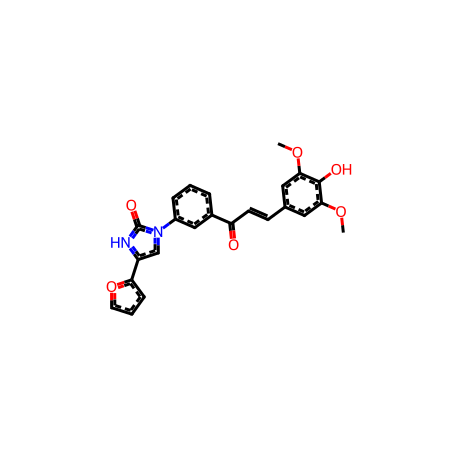 COc1cc(/C=C/C(=O)c2cccc(-n3cc(-c4ccco4)[nH]c3=O)c2)cc(OC)c1O